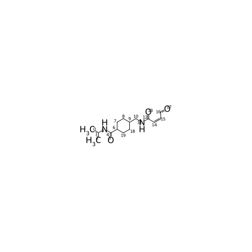 CC(C)NC(=O)C1CCC(CNC(=O)/C=C\C=O)CC1